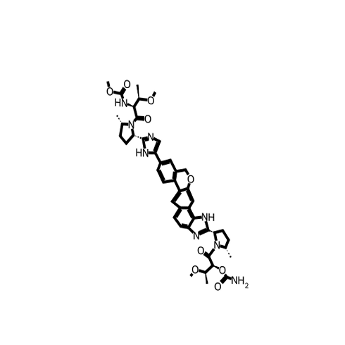 COC(=O)N[C@H](C(=O)N1[C@@H](C)CC[C@H]1c1ncc(-c2ccc3c(c2)COc2cc4c(ccc5nc([C@@H]6CC[C@H](C)N6C(=O)[C@@H](OC(N)=O)[C@@H](C)OC)[nH]c54)cc2-3)[nH]1)[C@@H](C)OC